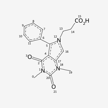 Cn1c(=O)c2c(-c3ccccc3)n(CCC(=O)O)cc2n(C)c1=O